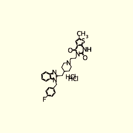 Cc1cc2c(=O)n(CCN3CCC(Cc4nc5ccccc5n4Cc4ccc(F)cc4)CC3)c(=O)[nH]c2s1.Cl.Cl